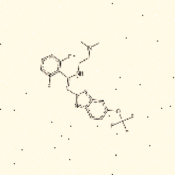 CN(C)CCNC(=Nc1nc2ccc(OC(F)(F)F)cc2s1)c1c(F)cccc1F